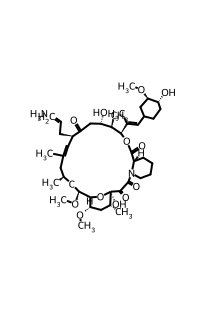 C=CC[C@@H]1/C=C(\C)C[C@H](C)C[C@H](OC)[C@H]2O[C@@](O)(C(=O)C(=O)N3CCCC[C@H]3C(=O)O[C@H](/C(C)=C/C3CC[C@@H](O)[C@H](OC)C3)[C@H](C)[C@@H](O)CC1=O)[C@H](C)C[C@@H]2OC.N